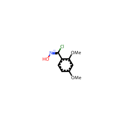 COc1ccc(/C(Cl)=N\O)c(OC)c1